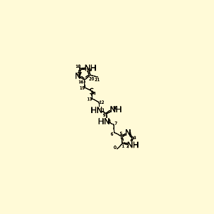 Cc1[nH]cnc1CCNC(=N)NCCSCc1nc[nH]c1C